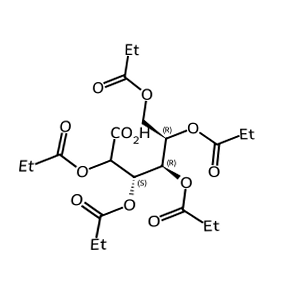 CCC(=O)OC[C@@H](OC(=O)CC)[C@@H](OC(=O)CC)[C@H](OC(=O)CC)C(OC(=O)CC)C(=O)O